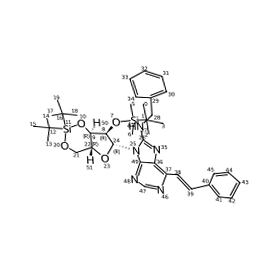 CC(C)(C)[Si](C)(C)O[C@@H]1[C@@H]2O[Si](C(C)(C)C)(C(C)(C)C)OC[C@H]2O[C@H]1n1c(NCc2ccccc2)nc2c(C=Cc3ccccc3)ncnc21